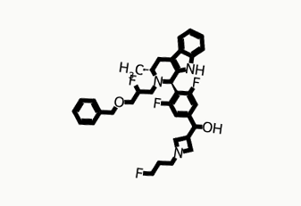 C[C@@H]1Cc2c([nH]c3ccccc23)[C@@H](c2c(F)cc(C(O)C3CN(CCCF)C3)cc2F)N1CC(F)COCc1ccccc1